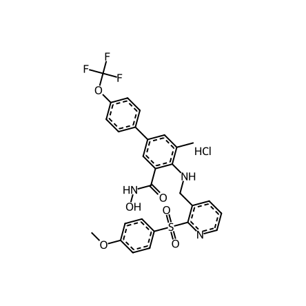 COc1ccc(S(=O)(=O)c2ncccc2CNc2c(C)cc(-c3ccc(OC(F)(F)F)cc3)cc2C(=O)NO)cc1.Cl